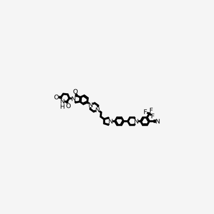 N#Cc1ccc(N2CCC(c3ccc(N4CCC(CCN5CCN(c6ccc7c(c6)CN(C6CCC(=O)NC6=O)C7=O)CC5)C4)cc3)CC2)cc1C(F)(F)F